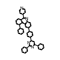 c1ccc(-c2cc(-c3ccc(-c4ccc5nc(-c6ccncc6)c6cccc(-c7ccccc7)c6c5c4)cc3)nc(-c3ccccc3)n2)cc1